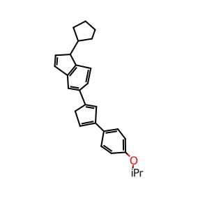 CC(C)Oc1ccc(C2=CCC(c3ccc4c(c3)C=CC4C3CCCC3)=C2)cc1